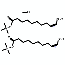 CCC.CCCCCCCC/C=C\CCCCCCCC(=O)O[N+](C)(C)C.CCCCCCCC/C=C\CCCCCCCC(=O)O[N+](C)(C)C